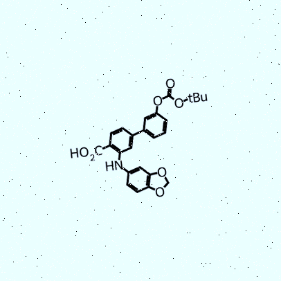 CC(C)(C)OC(=O)Oc1cccc(-c2ccc(C(=O)O)c(Nc3ccc4c(c3)OCO4)c2)c1